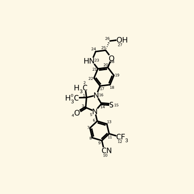 CC1(C)C(=O)N(c2ccc(C#N)c(C(F)(F)F)c2)C(=S)N1c1ccc2c(c1)NC[C@H](CO)O2